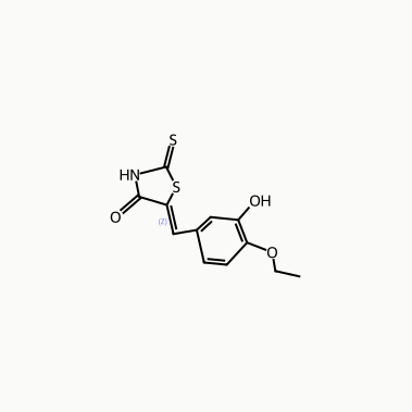 CCOc1ccc(/C=C2\SC(=S)NC2=O)cc1O